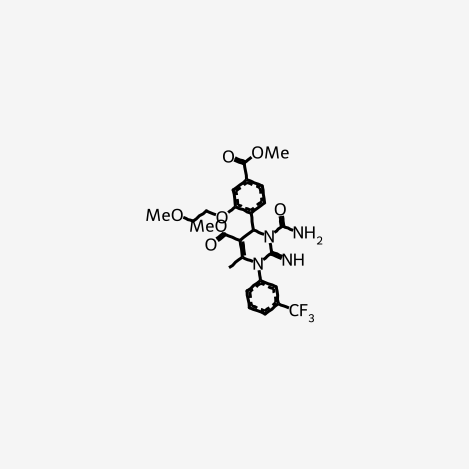 COCCOc1cc(C(=O)OC)ccc1C1C(C(=O)OC)=C(C)N(c2cccc(C(F)(F)F)c2)C(=N)N1C(N)=O